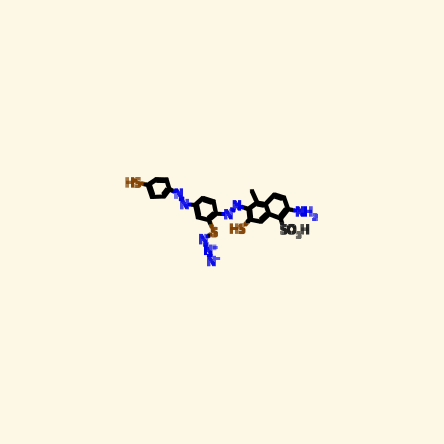 Cc1c(N=Nc2ccc(N=Nc3ccc(S)cc3)cc2SN=[N+]=[N-])c(S)cc2c(S(=O)(=O)O)c(N)ccc12